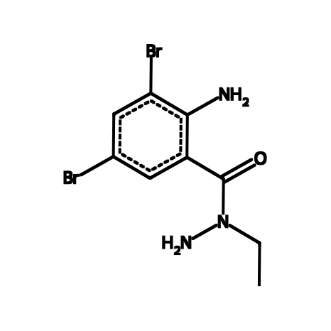 CCN(N)C(=O)c1cc(Br)cc(Br)c1N